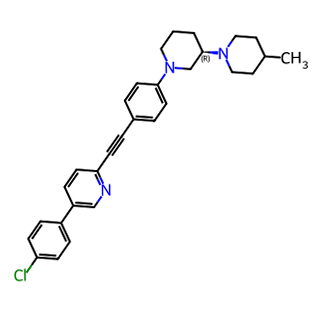 CC1CCN([C@@H]2CCCN(c3ccc(C#Cc4ccc(-c5ccc(Cl)cc5)cn4)cc3)C2)CC1